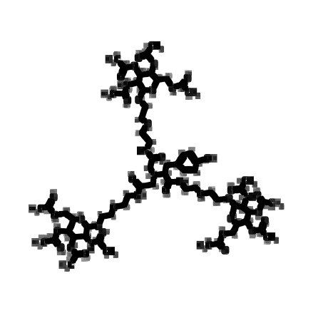 CC(=O)NC1C(OCCOCCNC(=O)CN(CC(=O)NCCOCCOC2OC(COC(C)=O)C(OC(C)=O)C(OC(C)=O)C2NC(C)=O)C(Cc2ccc(O)cc2)C(=O)NCCOCCOC2OC(COC(C)=O)C(OC(C)=O)C(OC(C)=O)C2NC(C)=O)OC(COC(C)=O)C(OC(C)=O)C1OC(C)=O